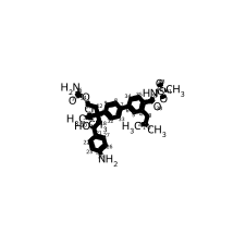 CC(C)Cc1cc(-c2ccc(C(CCOC(N)=O)(C[C@@H](O)c3ccc(N)cc3)C(C)(C)C)cc2)ccc1C(=O)NS(C)(=O)=O